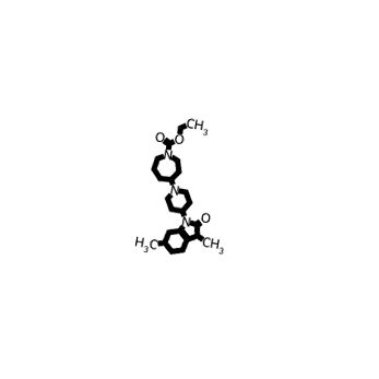 CCOC(=O)N1CCCC(N2CCC(N3C(=O)C(C)C4=C3CC(C)CC4)CC2)CC1